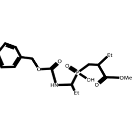 CCC(CP(=O)(O)C(CC)NC(=O)OCc1ccccc1)C(=O)OC